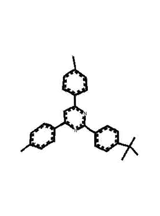 Cc1ccc(-c2cc(-c3ccc(C)cc3)nc(-c3ccc(C(C)(C)C)cc3)n2)cc1